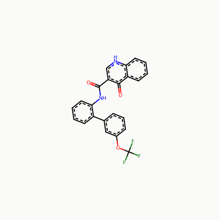 O=C(Nc1ccccc1-c1cccc(OC(F)(F)F)c1)c1c[nH]c2ccccc2c1=O